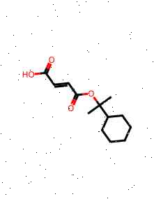 CC(C)(OC(=O)/C=C/C(=O)O)C1CCCCC1